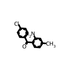 Cc1ccc(C(=O)c2ccc(Cl)cc2)c(N)c1